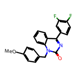 COc1ccc(Cn2c(=O)nc(-c3ccc(F)c(F)c3)c3ccccc32)cc1